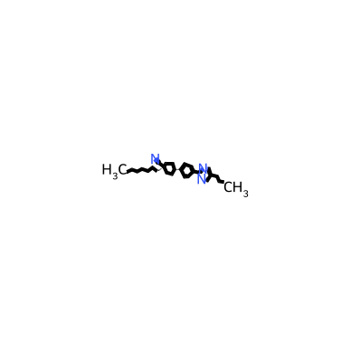 CCCCCCCC[C@]1(C#N)CC[C@H](c2ccc(-c3ncc(CCCC)cn3)cc2)CC1